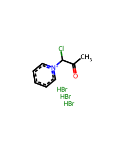 Br.Br.Br.CC(=O)C(Cl)[n+]1ccccc1